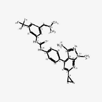 CN(C)Cc1cc(NC(=O)Nc2ccc(-c3cc(C4CC4)nc4c3c(N)nn4C)cc2)cc(C(F)(F)F)c1